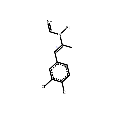 CCN(C=N)/C(C)=C/c1ccc(Cl)c(Cl)c1